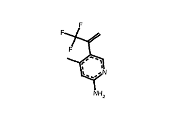 C=C(c1cnc(N)cc1C)C(F)(F)F